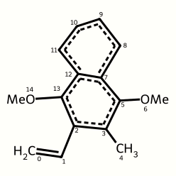 C=Cc1c(C)c(OC)c2ccccc2c1OC